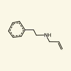 C=CCNCCc1ccccc1